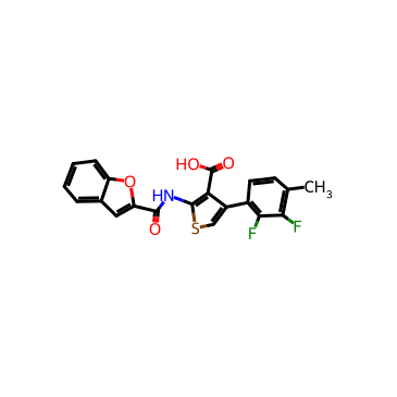 Cc1ccc(-c2csc(NC(=O)c3cc4ccccc4o3)c2C(=O)O)c(F)c1F